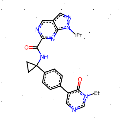 CCn1cncc(-c2ccc(C3(NC(=O)c4ncc5cnn(C(C)C)c5n4)CC3)cc2)c1=O